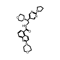 O=C(NCC(c1cnc(N2CCCC2)nc1)N1CCOCC1)c1cccc2nc(N3CCOCC3)ccc12